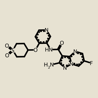 Nc1nn2cc(F)cnc2c1C(=O)Nc1cnccc1OC1CCS(=O)(=O)CC1